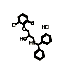 Cl.OC(CNC(c1ccccc1)c1ccccc1)COc1c(Cl)cccc1Cl